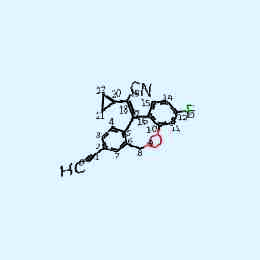 C#Cc1ccc2c(c1)COc1cc(F)ccc1C2=C(C#N)C1CC1